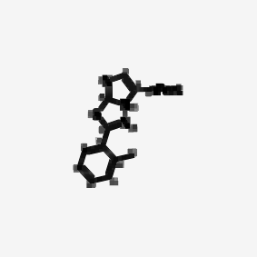 CCCCCc1cnc2sc(-c3ccccc3C)nn12